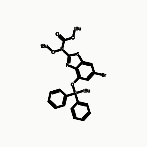 CC(C)(C)OC(=O)N(OC(C)(C)C)c1nc2c(O[Si](c3ccccc3)(c3ccccc3)C(C)(C)C)cc(Br)cc2s1